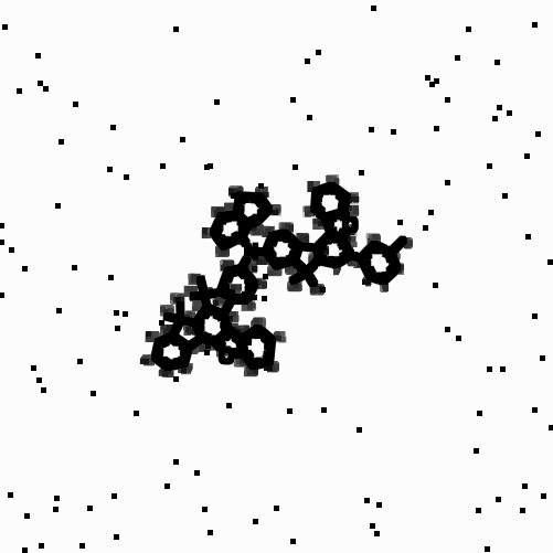 Cc1cccc(-c2cc3c(c4c2oc2ccccc24)-c2ccc(N(c4ccc5c(c4)C(C)(C)c4c6c(c7oc8ccccc8c7c4-5)-c4ccccc4C6(C)C)c4cccc5ccccc45)cc2C3(C)C)c1